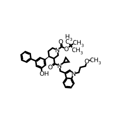 COCCCn1cc(CN(C(=O)C2CN(C(=O)OC(C)(C)C)CC[C@@H]2c2cc(O)cc(-c3ccccc3)c2)C2CC2)c2ccccc21